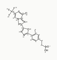 Cc1cc(CCC(=O)O)ccc1-c1nnc(-c2cn3cc(C(F)(F)F)cc(Cl)c3n2)o1